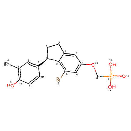 CC(C)c1cc([C@H]2CCc3cc(OCP(=O)(O)O)cc(Br)c32)ccc1O